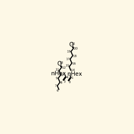 C=CCCCCCC.C=CCCCCCC.CCCCCCC=O.CCCCCCC=O